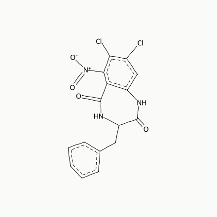 O=C1NC(Cc2ccccc2)C(=O)Nc2cc(Cl)c(Cl)c([N+](=O)[O-])c21